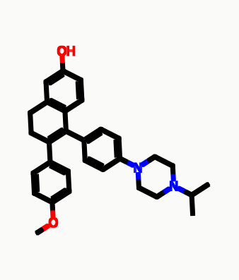 COc1ccc(C2=C(c3ccc(N4CCN(C(C)C)CC4)cc3)c3ccc(O)cc3CC2)cc1